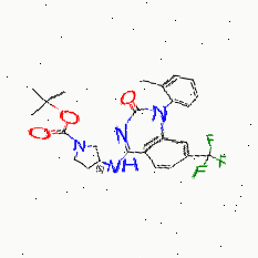 Cc1ccccc1-n1c(=O)nc(N[C@H]2CCN(C(=O)OC(C)(C)C)C2)c2ccc(C(F)(F)F)cc21